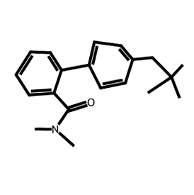 CN(C)C(=O)c1ccccc1-c1ccc(CC(C)(C)C)cc1